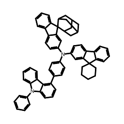 c1ccc(-n2c3ccccc3c3c(-c4ccc(N(c5ccc6c(c5)C5(CCCCC5)c5ccccc5-6)c5ccc6c(c5)C5(c7ccccc7-6)C6CC7CC(C6)CC5C7)cc4)cccc32)cc1